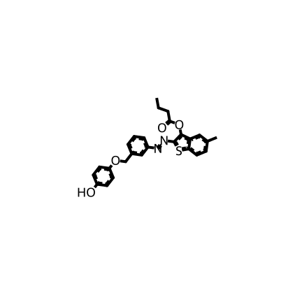 CCCC(=O)Oc1c(N=Nc2cccc(COc3ccc(O)cc3)c2)sc2ccc(C)cc12